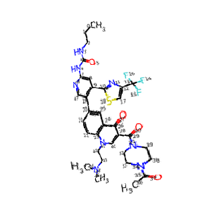 CCCNC(=O)Nc1cc(-c2nc(C(F)(F)F)cs2)c(-c2ccc3c(c2)c(=O)c(C(=O)N2CCN(C(C)=O)CC2)cn3CCN(C)C)cn1